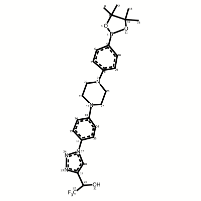 CC1(C)OB(c2ccc(N3CCN(c4ccc(-n5cc(C(O)C(F)(F)F)nn5)cc4)CC3)cc2)OC1(C)C